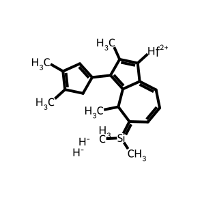 CC1=C(C)CC(C2=C3C(=CC=CC(=[Si](C)C)C3C)[C]([Hf+2])=C2C)=C1.[H-].[H-]